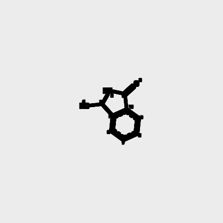 O=C1NC(O)c2ccc[c]c21